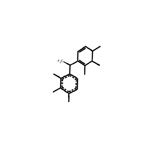 CC1=C(C(c2ccc(C)c(C)c2C)C(F)(F)F)C=CC(C)C1C